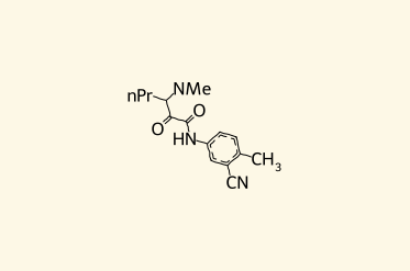 CCCC(NC)C(=O)C(=O)Nc1ccc(C)c(C#N)c1